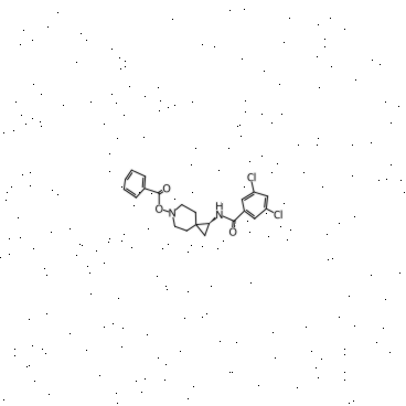 O=C(N[C@H]1CC12CCN(OC(=O)c1ccccc1)CC2)c1cc(Cl)cc(Cl)c1